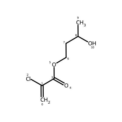 C=C(Cl)C(=O)OCCC(C)O